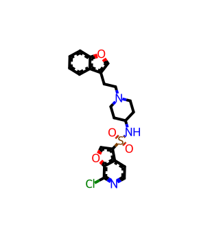 O=S(=O)(NC1CCN(CCc2coc3ccccc23)CC1)c1coc2c(Cl)nccc12